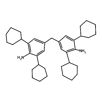 Nc1c(C2CCCCC2)cc(Cc2cc(C3CCCCC3)c(N)c(C3CCCCC3)c2)cc1C1CCCCC1